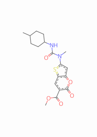 COC(=O)c1cc2sc(N(C)C(=O)NC3CCC(C)CC3)cc2oc1=O